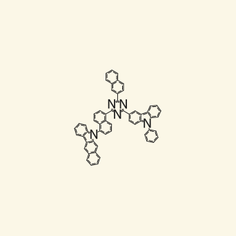 c1ccc(-n2c3ccccc3c3cc(-c4nc(-c5ccc6ccccc6c5)nc(-c5cccc6c(-n7c8ccccc8c8cc9ccccc9cc87)cccc56)n4)ccc32)cc1